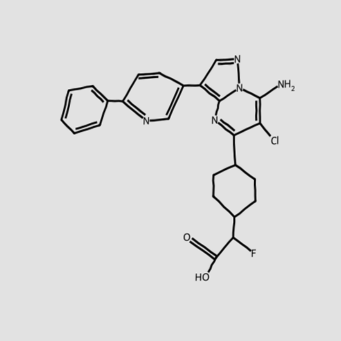 Nc1c(Cl)c(C2CCC(C(F)C(=O)O)CC2)nc2c(-c3ccc(-c4ccccc4)nc3)cnn12